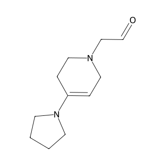 O=CCN1CC=C(N2CCCC2)CC1